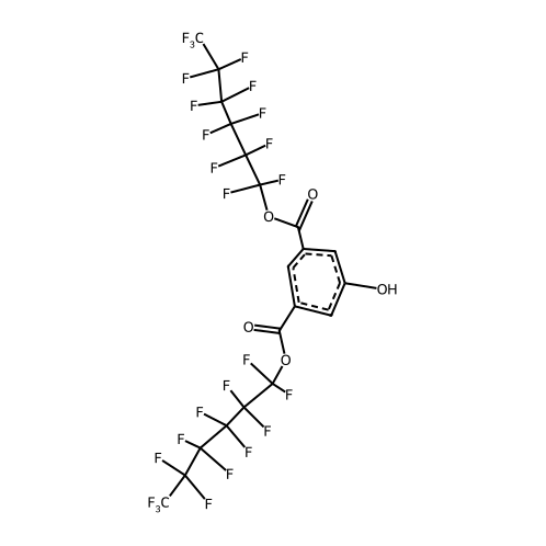 O=C(OC(F)(F)C(F)(F)C(F)(F)C(F)(F)C(F)(F)C(F)(F)F)c1cc(O)cc(C(=O)OC(F)(F)C(F)(F)C(F)(F)C(F)(F)C(F)(F)C(F)(F)F)c1